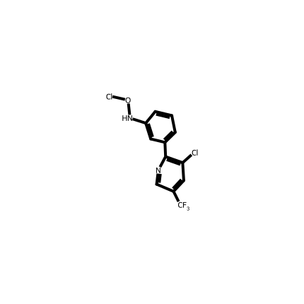 FC(F)(F)c1cnc(-c2cccc(NOCl)c2)c(Cl)c1